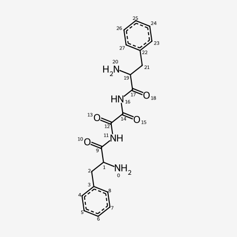 NC(Cc1ccccc1)C(=O)NC(=O)C(=O)NC(=O)C(N)Cc1ccccc1